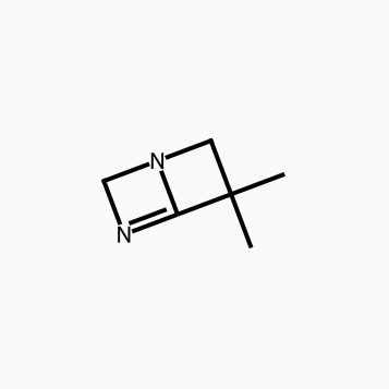 CC1(C)CN2CN=C21